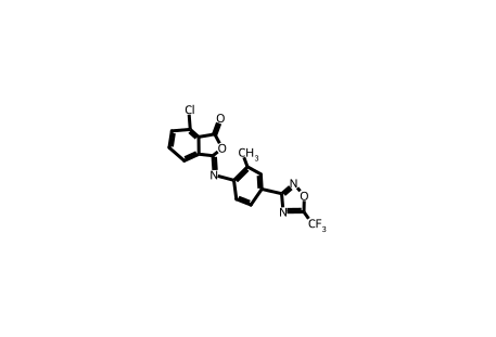 Cc1cc(-c2noc(C(F)(F)F)n2)ccc1N=C1OC(=O)c2c(Cl)cccc21